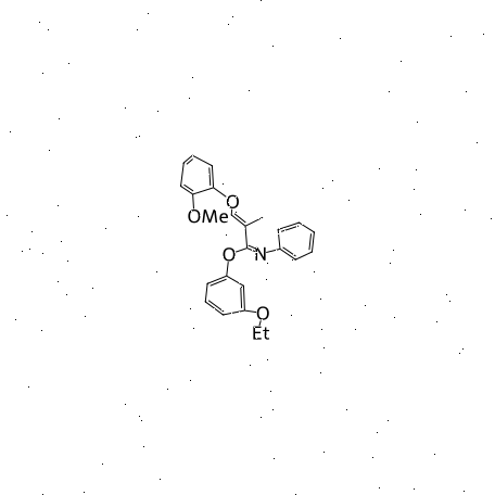 CCOc1cccc(OC(=Nc2ccccc2)C(C)=COc2ccccc2OC)c1